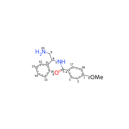 COc1ccc(C(=O)NC(CN)c2ccccc2)cc1